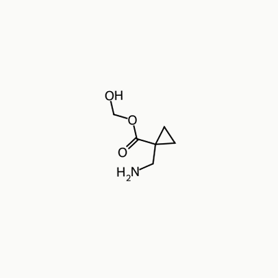 NCC1(C(=O)OCO)CC1